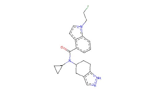 O=C(c1cccc2c1ccn2CCF)N(C1CC1)C1CCc2[nH]ncc2C1